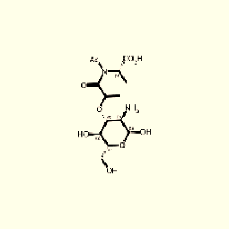 CC(=O)N(C(=O)C(C)O[C@@H]1[C@@H](N)[C@@H](O)O[C@H](CO)[C@H]1O)[C@@H](C)C(=O)O